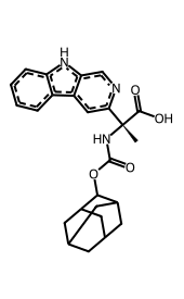 C[C@](NC(=O)OC1C2CC3CC(C2)CC1C3)(C(=O)O)c1cc2c(cn1)[nH]c1ccccc12